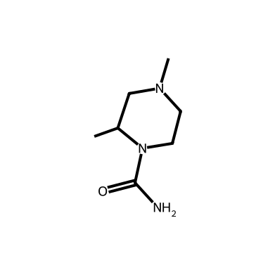 CC1CN(C)CCN1C(N)=O